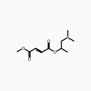 COC(=O)C=CC(=O)OC(C)CN(C)C